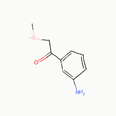 CBCC(=O)c1cccc(N)c1